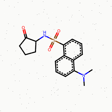 CN(C)c1cccc2c(S(=O)(=O)NC3CCCC3=O)cccc12